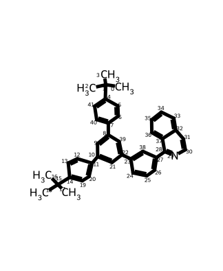 CC(C)(C)c1ccc(-c2cc(-c3ccc(C(C)(C)C)cc3)cc(-c3cccc(-c4nccc5ccccc45)c3)c2)cc1